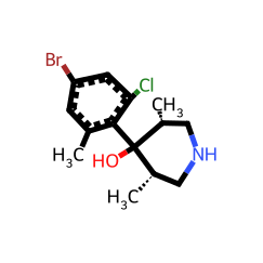 Cc1cc(Br)cc(Cl)c1C1(O)[C@H](C)CNC[C@@H]1C